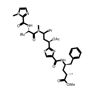 CC[C@H](C)[C@H](NC(=O)c1nccn1C)C(=O)N(C)C(C[C@@H](OC(C)=O)c1nc(C(=O)N[C@@H](Cc2ccccc2)C[C@H](C)C(=O)OC)cs1)C(C)C